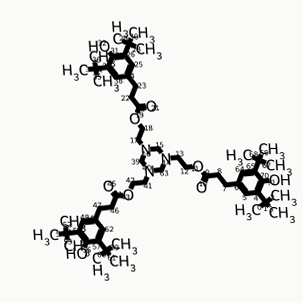 CC(C)(C)c1cc(CCC(=O)OCCN2CN(CCOC(=O)CCc3cc(C(C)(C)C)c(O)c(C(C)(C)C)c3)CN(CCOC(=O)CCc3cc(C(C)(C)C)c(O)c(C(C)(C)C)c3)C2)cc(C(C)(C)C)c1O